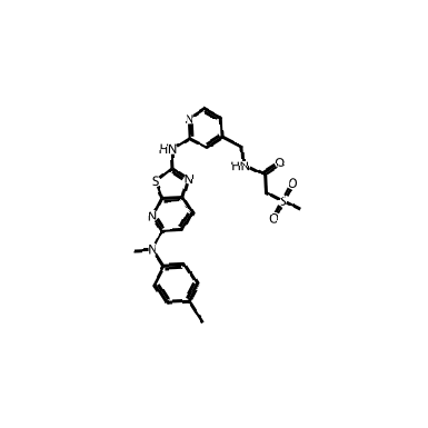 Cc1ccc(N(C)c2ccc3nc(Nc4cc(CNC(=O)CS(C)(=O)=O)ccn4)sc3n2)cc1